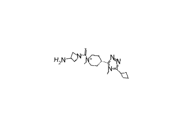 C=C(N1CC(N)C1)[N+]1(C)CCC(c2nnc(C3CCC3)n2C)CC1